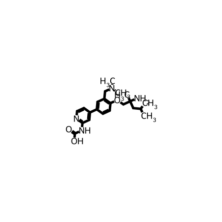 CC(C)CC(C)(N)COc1ccc(-c2ccnc(NC(=O)O)c2)cc1CN(C)C